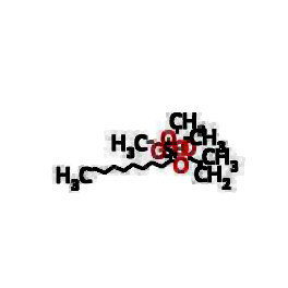 C=C(C)C(=O)OC(CCCCCCCCC)[Si](OCC)(OCC)OCC